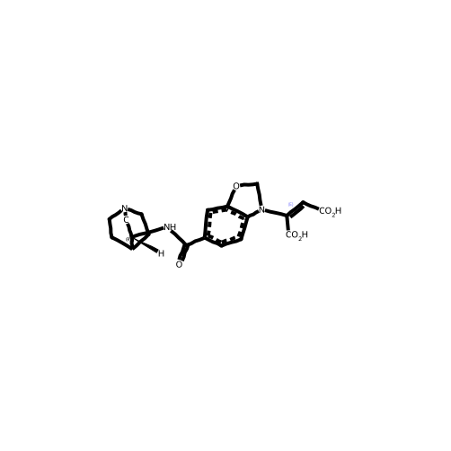 O=C(O)/C=C(\C(=O)O)N1COc2cc(C(=O)N[C@H]3CN4CCC3CC4)ccc21